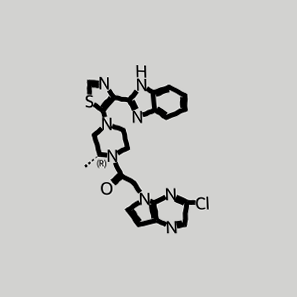 C[C@@H]1CN(c2scnc2-c2nc3ccccc3[nH]2)CCN1C(=O)Cn1ccc2ncc(Cl)nc21